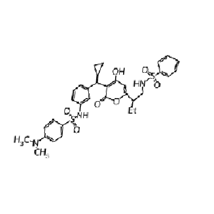 CCC(CNS(=O)(=O)c1ccccc1)c1cc(O)c(C(c2cccc(NS(=O)(=O)c3ccc(N(C)C)cc3)c2)C2CC2)c(=O)o1